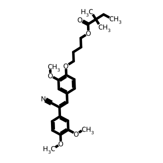 CCC(C)(C)C(=O)OCCCCOc1ccc(/C=C(\C#N)c2ccc(OC)c(OC)c2)cc1OC